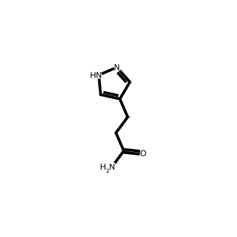 NC(=O)C[CH]c1cn[nH]c1